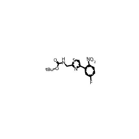 CC(C)(C)OC(=O)NCc1nc(-c2cc(F)ccc2[N+](=O)[O-])cs1